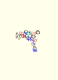 CN(C[C@H]1CCCN1c1c(NC(=O)c2csc(-c3ccnnc3)n2)ccc(Oc2ccccc2)c1C(F)(F)F)C(=O)OC(C)(C)C